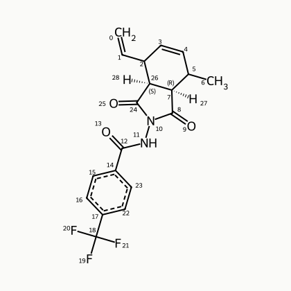 C=CC1C=CC(C)[C@H]2C(=O)N(NC(=O)c3ccc(C(F)(F)F)cc3)C(=O)[C@@H]12